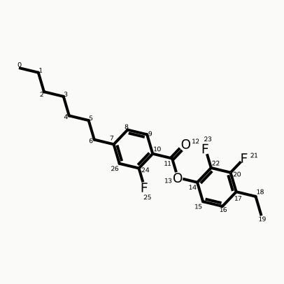 CCCCCCCc1ccc(C(=O)Oc2ccc(CC)c(F)c2F)c(F)c1